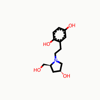 OC[C@@H]1C[C@@H](O)CN1CCc1cc(O)ccc1O